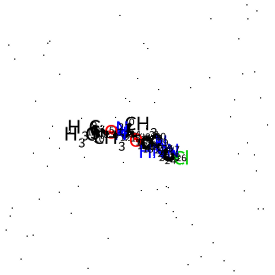 Cc1nn(COCC[Si](C)(C)C)cc1COc1ccc2c(Nc3ccc(Cl)nc3)nccc2c1